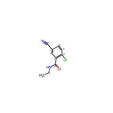 CCNC(=O)c1cc(C#N)ccc1F